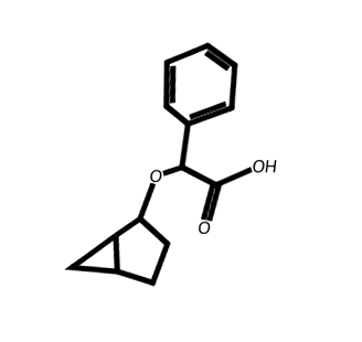 O=C(O)C(OC1CCC2CC21)c1ccccc1